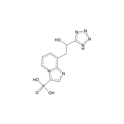 O=P(O)(O)c1cnc2c(CC(O)c3nnn[nH]3)cccn12